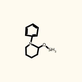 [SiH3]OC1CCCCN1c1ccccc1